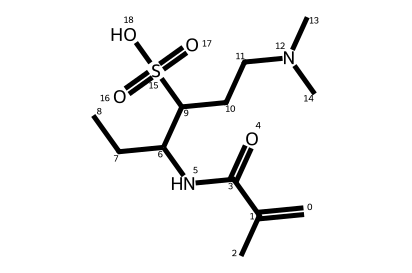 C=C(C)C(=O)NC(CC)C(CCN(C)C)S(=O)(=O)O